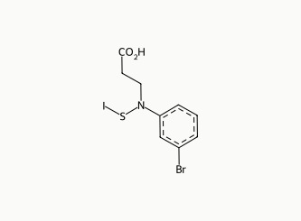 O=C(O)CCN(SI)c1cccc(Br)c1